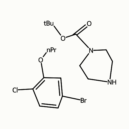 CC(C)(C)OC(=O)N1CCNCC1.CCCOc1cc(Br)ccc1Cl